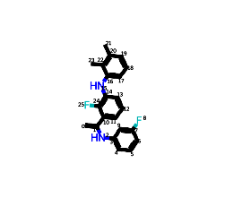 C=C(Nc1cccc(F)c1)c1cccc(Nc2cccc(C)c2C)c1F